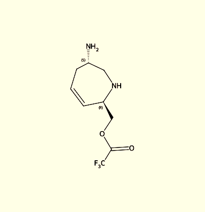 N[C@H]1CC=C[C@H](COC(=O)C(F)(F)F)NC1